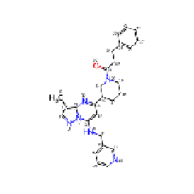 Cc1cnn2c(NCc3cccnc3)cc(C3CCCN(C(=O)CCc4ccccc4)C3)nc12